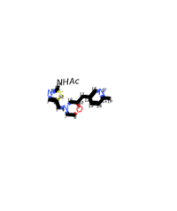 CC(=O)Nc1ncc(CN2CCOC(Cc3ccc(C)nc3)C2)s1